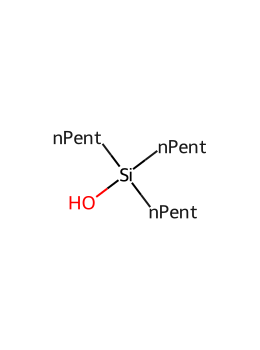 CCCCC[Si](O)(CCCCC)CCCCC